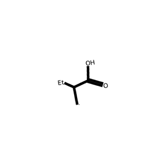 [CH2]CC([CH2])C(=O)O